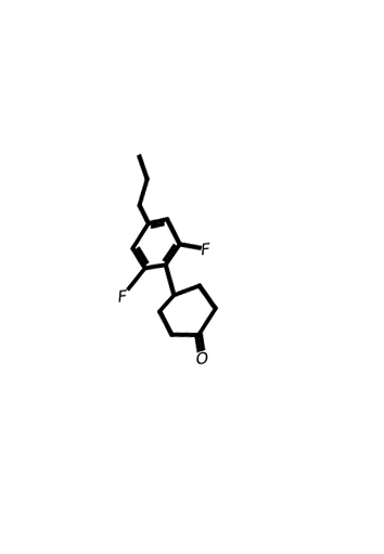 CCCc1cc(F)c(C2CCC(=O)CC2)c(F)c1